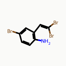 Nc1ccc(Br)cc1C=C(Br)Br